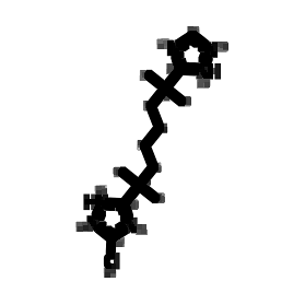 CC(C)(CCCCC(C)(C)c1nc(Cl)n[nH]1)c1ncn[nH]1